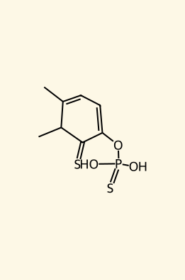 CC1=CC=C(OP(O)(O)=S)C(=S)C1C